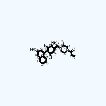 C=CC(=O)N1CCN(c2snc3c(F)c(-c4cc(O)cc5ccccc45)c(Cl)cc23)[C@@H](C)C1